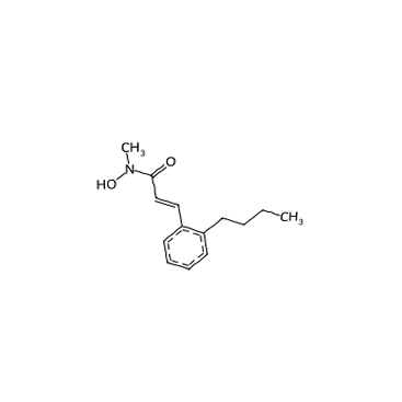 CCCCc1ccccc1C=CC(=O)N(C)O